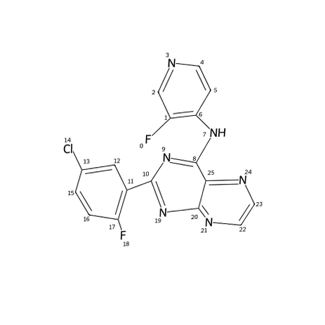 Fc1cnccc1Nc1nc(-c2cc(Cl)ccc2F)nc2nccnc12